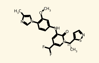 COc1cc(Nc2cc(C(F)F)cn([C@@H](C)c3ccns3)c2=O)ccc1-n1cnc(C)c1